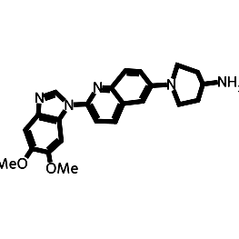 COc1cc2ncn(-c3ccc4cc(N5CCC(N)CC5)ccc4n3)c2cc1OC